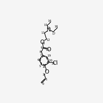 C=CCOc1ccc(CC(=O)OCCN(CC)CC)cc1Cl